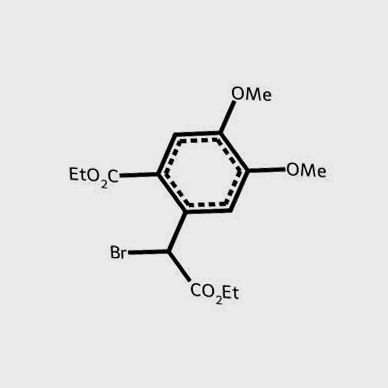 CCOC(=O)c1cc(OC)c(OC)cc1C(Br)C(=O)OCC